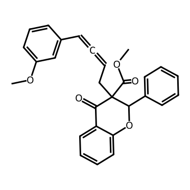 COC(=O)C1(CC=C=Cc2cccc(OC)c2)C(=O)c2ccccc2OC1c1ccccc1